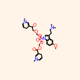 COc1ccc2c(c1)c(CCN(C)C)cn2P(=O)(OCOCC(=O)C1=CN(C)C=CC1)OCOC(=O)C1=CN(C)C=CC1